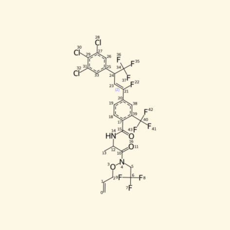 C=CCON(CC(F)(F)F)C(=O)C(C)NC(=O)c1ccc(/C(F)=C/C(c2cc(Cl)c(Cl)c(Cl)c2)C(F)(F)F)cc1C(F)(F)F